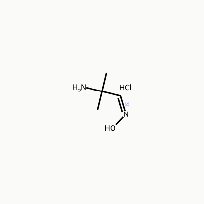 CC(C)(N)/C=N\O.Cl